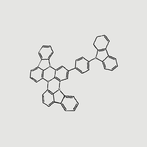 C1=Cc2c(n(-c3ccc(-c4cc5c6c(c4)-n4c7ccccc7c7cccc(c74)B6c4cccc6c7ccccc7n-5c46)cc3)c3ccccc23)CC1